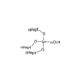 CCCCCCC[CH2][Sn]([O]CCCCCCC)([O]CCCCCCC)[O]CCCCCCC